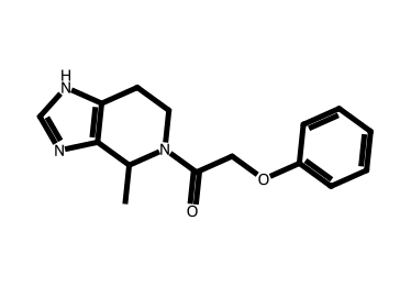 CC1c2nc[nH]c2CCN1C(=O)COc1ccccc1